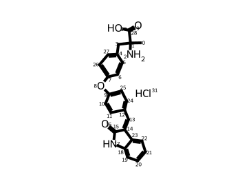 CC(N)(Cc1ccc(Oc2ccc(C=C3C(=O)Nc4ccccc43)cc2)cc1)C(=O)O.Cl